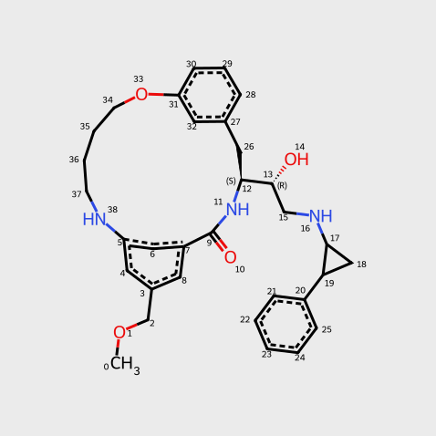 COCc1cc2cc(c1)C(=O)N[C@H]([C@H](O)CNC1CC1c1ccccc1)Cc1cccc(c1)OCCCCN2